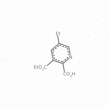 CCOC(=O)c1cc(CC)cnc1C(=O)O